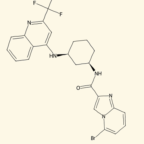 O=C(N[C@@H]1CCC[C@H](Nc2cc(C(F)(F)F)nc3ccccc23)C1)c1cn2c(Br)cccc2n1